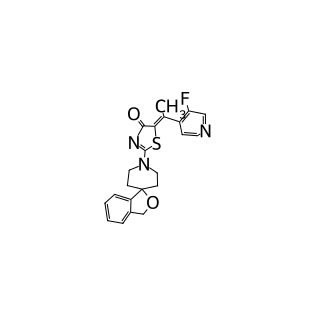 C/C(=C1/SC(N2CCC3(CC2)OCc2ccccc23)=NC1=O)c1ccncc1F